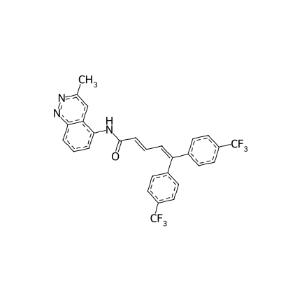 Cc1cc2c(NC(=O)C=CC=C(c3ccc(C(F)(F)F)cc3)c3ccc(C(F)(F)F)cc3)cccc2nn1